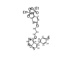 CCS(=O)(=O)N(c1ccc(OCCCOc2ncnc3scc(-c4ccc(F)cc4)c23)cc1)S(=O)(=O)CC